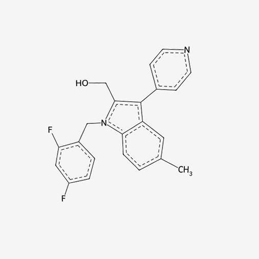 Cc1ccc2c(c1)c(-c1ccncc1)c(CO)n2Cc1ccc(F)cc1F